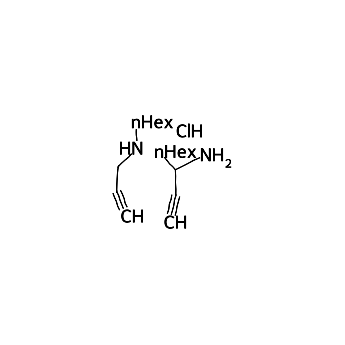 C#CC(N)CCCCCC.C#CCNCCCCCC.Cl